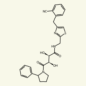 N#Cc1ccccc1Cc1csc(CNC(=O)[C@H](O)[C@@H](O)C(=O)N2CCCC2c2ccccc2)n1